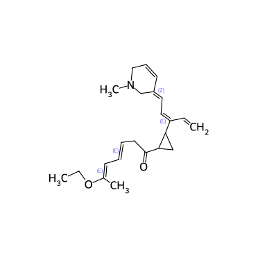 C=C/C(=C\C=C1\C=CCN(C)C1)C1CC1C(=O)C/C=C/C=C(\C)OCC